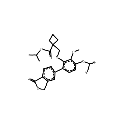 [2H]C([2H])Oc1ccc(-c2ccc3c(c2)COC3=O)c(OCC2(C(=O)OC(C)C)CCC2)c1OC